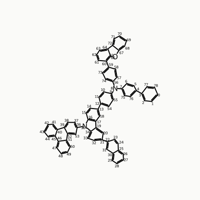 c1ccc(-c2ccc(N(c3ccc(-c4ccc5c(c4)c4cc(-c6ccc7ccccc7c6)ccc4n5-c4ccc5c6ccccc6c6ccccc6c5c4)cc3)c3ccc(-c4cccc5c4oc4ccccc45)cc3)cc2)cc1